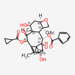 CC(=O)O[C@@]12CO[C@@H]1C[C@H](O)[C@@]1(C)C(=O)[C@H](OC(=O)C3CC3)C3=C(C)[C@@H](O)C[C@@](O)([C@@H](OC(=O)c4ccccc4)C12)C3(C)C